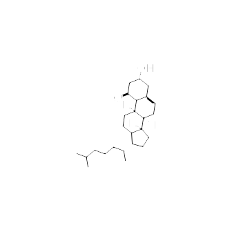 CC(C)CCCC(C)[C@H]1CC[C@H]2[C@@H]3CC=C4C[C@H](O)CC(=O)[C@]4(C)[C@H]3CC[C@]12C